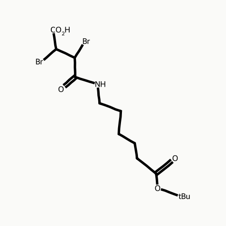 CC(C)(C)OC(=O)CCCCCNC(=O)C(Br)C(Br)C(=O)O